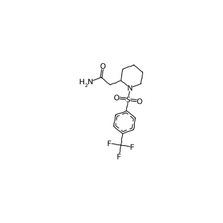 NC(=O)CC1CCCCN1S(=O)(=O)c1ccc(C(F)(F)F)cc1